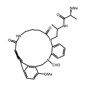 CN[C@@H](C)C(=O)NC(C)CN1C(=O)CCCNC(=O)c2ccc3c(c(OC)ccc3c2)CN(C=O)c2ccccc21